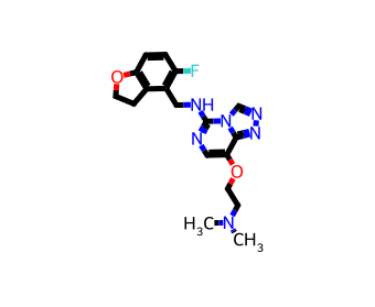 CN(C)CCOc1cnc(NCc2c(F)ccc3c2CCO3)n2cnnc12